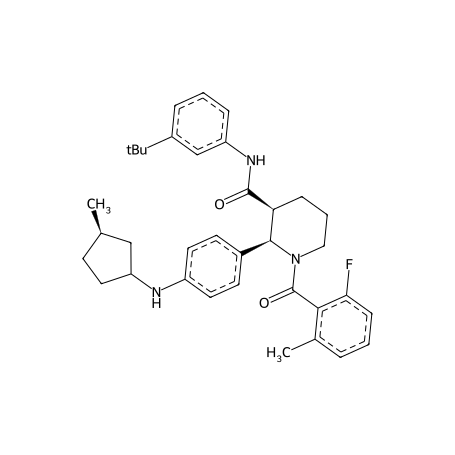 Cc1cccc(F)c1C(=O)N1CCC[C@H](C(=O)Nc2cccc(C(C)(C)C)c2)[C@@H]1c1ccc(NC2CC[C@@H](C)C2)cc1